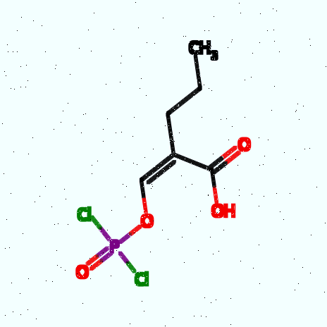 CCCC(=COP(=O)(Cl)Cl)C(=O)O